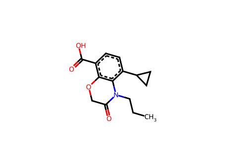 CCCN1C(=O)COc2c(C(=O)O)ccc(C3CC3)c21